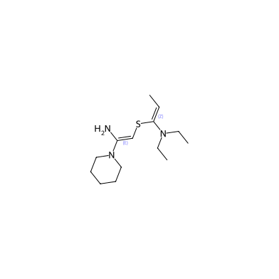 C/C=C(\S/C=C(\N)N1CCCCC1)N(CC)CC